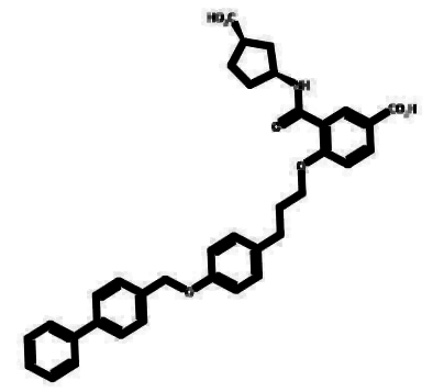 O=C(O)c1ccc(OCCCc2ccc(OCc3ccc(-c4ccccc4)cc3)cc2)c(C(=O)N[C@H]2CC[C@@H](C(=O)O)C2)c1